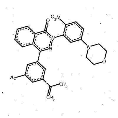 C=C(C)c1cc(C(C)=O)cc(-c2nn(-c3cc(N4CCOCC4)ccc3[N+](=O)[O-])c(=O)c3ccccc23)c1